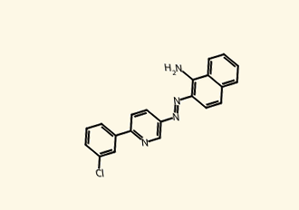 Nc1c(N=Nc2ccc(-c3cccc(Cl)c3)nc2)ccc2ccccc12